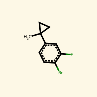 CC1(c2ccc(Br)c(F)c2)CC1